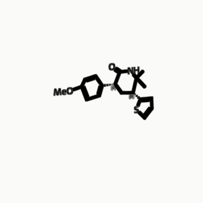 COc1ccc([C@H]2C[C@@H](c3cccs3)C(C)(C)NC2=O)cc1